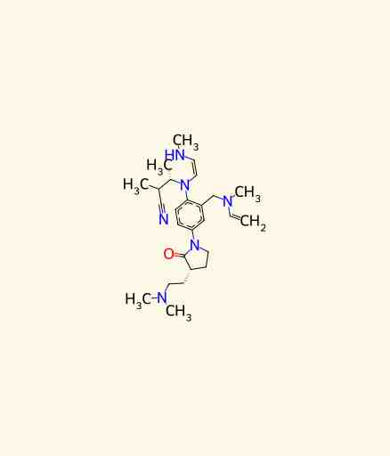 C=CN(C)Cc1cc(N2CC[C@H](CCN(C)C)C2=O)ccc1N(/C=C\NC)[C@@H](C)C(C)C#N